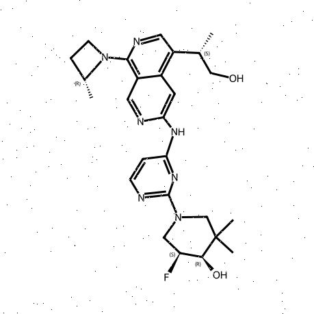 C[C@H](CO)c1cnc(N2CC[C@H]2C)c2cnc(Nc3ccnc(N4C[C@H](F)[C@H](O)C(C)(C)C4)n3)cc12